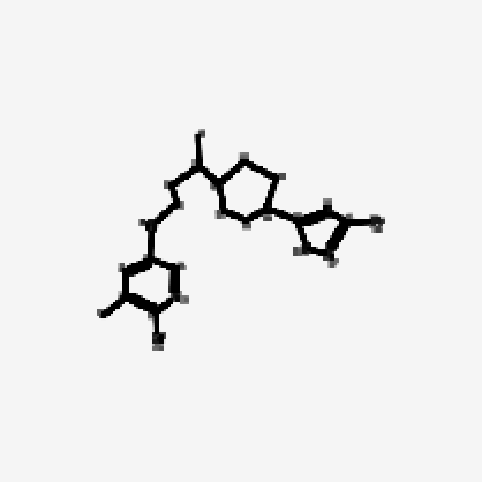 Cc1cc(OCCC(C)C2CCN(c3nc(C(C)C)no3)CC2)cnc1Br